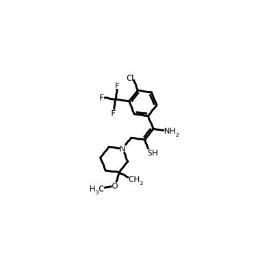 COC1(C)CCCN(C/C(S)=C(/N)c2ccc(Cl)c(C(F)(F)F)c2)C1